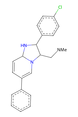 CNCC1C(c2ccc(Cl)cc2)NC2C=CC(c3ccccc3)=CN21